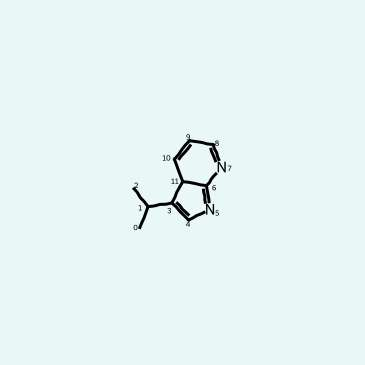 CC(C)C1=CN=C2N=CC=CC12